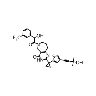 CC(C)(O)C#Cc1csc(C2(c3nc4c(c(=O)[nH]3)CN(C(=O)C(O)c3cccc(C(F)(F)F)c3)CCC4)CC2)c1